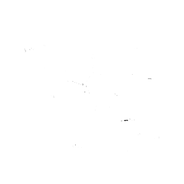 CC(OC(C)(C)C)[C@H](NC(=O)C(F)(F)F)C(=O)N1C[C@H]2[C@@H]([C@H]1C(=O)N[C@H](C#N)C[C@@H]1CCNC1=O)C2(Cl)Cl